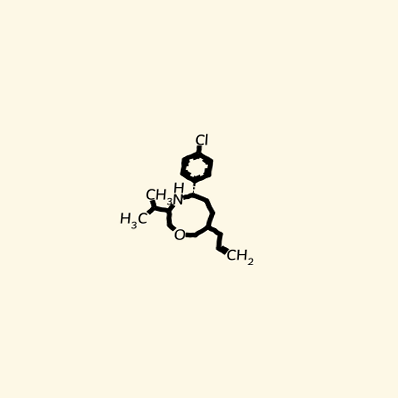 C=CCC1CC[C@@H](c2ccc(Cl)cc2)NC(C(C)C)COC1